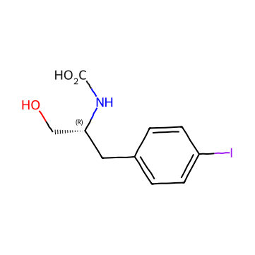 O=C(O)N[C@@H](CO)Cc1ccc(I)cc1